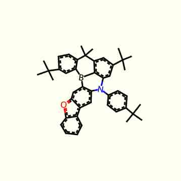 CC(C)(C)c1ccc(N2c3cc4c(cc3B3c5cc(C(C)(C)C)ccc5C(C)(C)c5cc(C(C)(C)C)cc2c53)oc2ccccc24)cc1